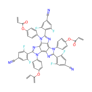 C=CC(=C)Oc1ccc(-n2c(-c3c(F)cc(C#N)cc3F)nc3c2c2nc(-c4c(F)cc(C#N)cc4F)n(-c4ccc(OC(=O)C=C)cc4)c2c2nc(-c4c(F)cc(C#N)cc4F)n(-c4ccc(OC(=O)C=C)cc4)c32)cc1